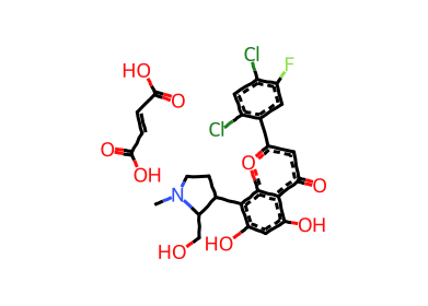 CN1CCC(c2c(O)cc(O)c3c(=O)cc(-c4cc(F)c(Cl)cc4Cl)oc23)C1CO.O=C(O)C=CC(=O)O